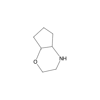 C1C[C]2OCCNC2C1